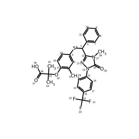 Cc1cc(SC(c2ccccc2)c2nn(-c3ccc(C(F)(F)F)cc3)c(=O)n2C)ccc1OC(C)(C)C(=O)O